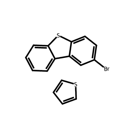 Brc1ccc2sc3ccccc3c2c1.c1ccsc1